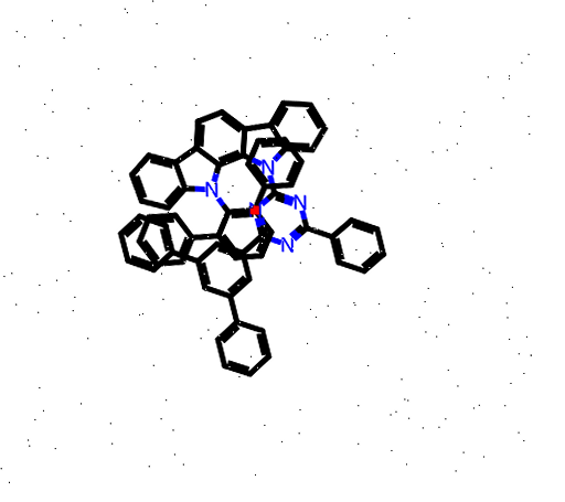 c1ccc(-c2cc(-c3ccccc3)cc(-c3nc(-c4ccccc4)nc(-n4c5ccccc5c5ccc6c7ccccc7n(-c7c(-c8ccccc8)cccc7-c7ccccc7)c6c54)n3)c2)cc1